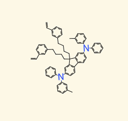 C=Cc1cccc(CCCCC2(CCCCc3cccc(C=C)c3)c3cc(N(c4ccccc4)c4cccc(C)c4)ccc3-c3ccc(N(c4ccccc4)c4cccc(C)c4)cc32)c1